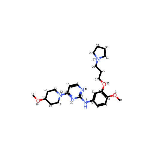 COc1ccc(Nc2nccc(N3CCC(OC)CC3)n2)cc1OCCCN1CCCC1